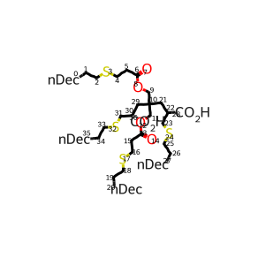 CCCCCCCCCCCCSCCC(=O)OCC(COC(=O)CCSCCCCCCCCCCCC)(CC(CSCCCCCCCCCCCC)C(=O)O)CC(CSCCCCCCCCCCCC)C(=O)O